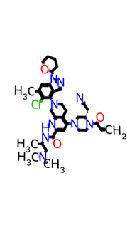 C=CC(=O)N1CCN(c2cc(C(=O)N[C@H](C)CN(C)C)nc3c2CCN(c2c(Cl)c(C)cc4c2cnn4C2CCCCO2)C3)C[C@@H]1CC#N